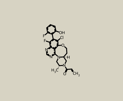 C=CC(=O)N1C[C@@H]2CCOc3c(Cl)c(-c4c(O)cccc4F)c(F)c4ncnc(c34)N2C[C@H]1C